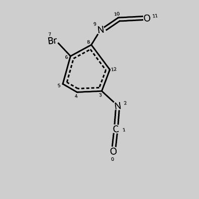 O=C=Nc1ccc(Br)c(N=C=O)c1